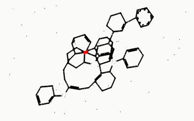 C1=CCCC(N/C2=C/CC3=C(C4C=CC(C5C=C(c6ccccc6)CCC5)CC4C4C=CC=CC4CCC2)C(N(C2=CCCC=C2)C2=C4SC5CCCCC5C4CCC2)CCC3)=C1